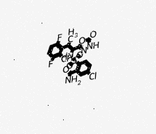 Cc1c(F)ccc(F)c1C(C)C(NS(=O)(=O)c1ccc(Cl)cc1C(N)=O)c1n[nH]c(=O)o1